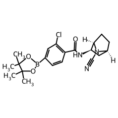 CC1(C)OB(c2ccc(C(=O)N[C@@H]3C[C@@H]4CC[C@H]3N4C#N)c(Cl)c2)OC1(C)C